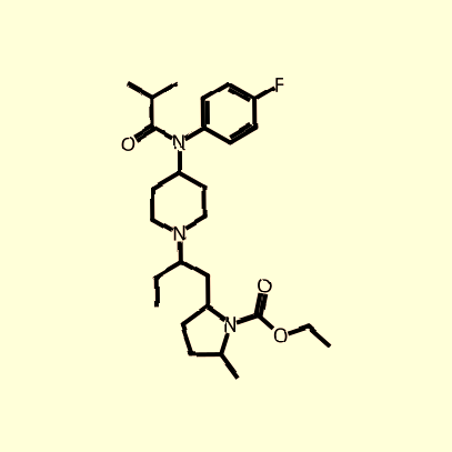 CCOC(=O)N1C(C)CCC1CC(CC)N1CCC(N(C(=O)C(C)C)c2ccc(F)cc2)CC1